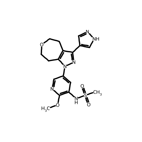 COc1ncc(-n2nc(-c3cn[nH]c3)c3c2CCOCC3)cc1NS(C)(=O)=O